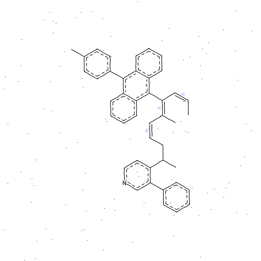 C\C=C/C(=C(C)/C=C\CC(C)c1ccncc1-c1ccccc1)c1c2ccccc2c(-c2ccc(C)cc2)c2ccccc12